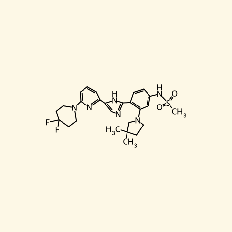 CC1(C)CCN(c2cc(NS(C)(=O)=O)ccc2-c2ncc(-c3cccc(N4CCC(F)(F)CC4)n3)[nH]2)C1